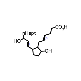 CCCCCCCC(O)/C=C/C1CCC(O)C1C/C=C/CCC(=O)O